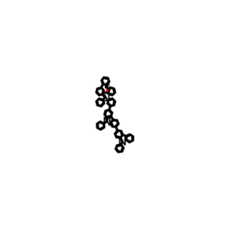 c1ccc(-n2c3ccccc3c3cc(-c4ccc5c6cc(-c7cccc([Si](c8ccccc8)(c8ccccc8)c8cccc9c8sc8ccccc89)c7)ccc6n(-c6ccccc6)c5c4)ccc32)cc1